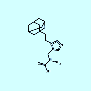 N[C@@H](Cc1cncn1CCC12CC3CC(CC(C3)C1)C2)C(=O)O